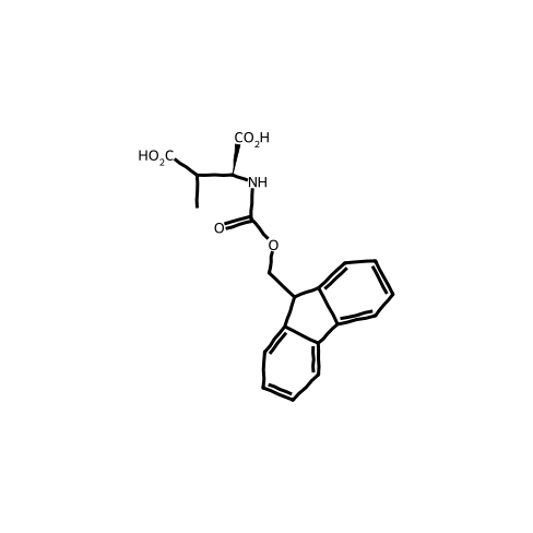 CC(C(=O)O)[C@H](NC(=O)OCC1c2ccccc2-c2ccccc21)C(=O)O